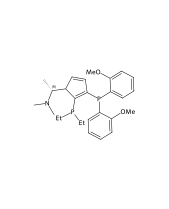 CCP(CC)C1=C(P(c2ccccc2OC)c2ccccc2OC)C=CC1[C@@H](C)N(C)C